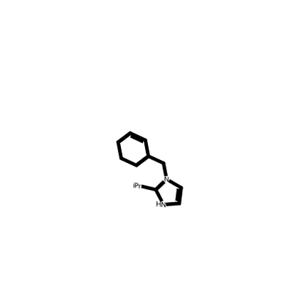 CC(C)C1NC=CN1CC1C=CCCC1